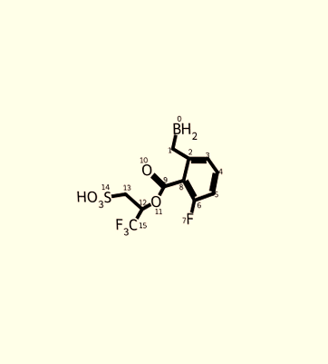 BCc1cccc(F)c1C(=O)OC(CS(=O)(=O)O)C(F)(F)F